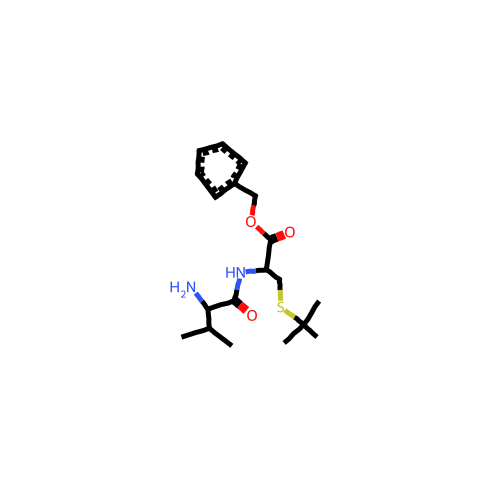 CC(C)C(N)C(=O)NC(CSC(C)(C)C)C(=O)OCc1ccccc1